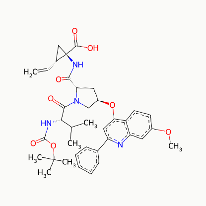 C=C[C@@H]1C[C@]1(NC(=O)[C@@H]1C[C@@H](Oc2cc(-c3ccccc3)nc3cc(OC)ccc23)CN1C(=O)[C@@H](NC(=O)OC(C)(C)C)C(C)C)C(=O)O